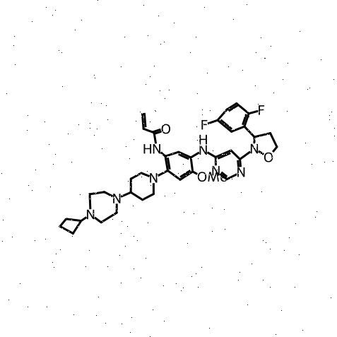 C=CC(=O)Nc1cc(Nc2cc(N3OCCC3c3cc(F)ccc3F)ncn2)c(OC)cc1N1CCC(N2CCN(C3CCC3)CC2)CC1